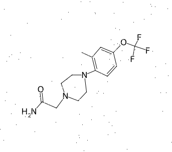 Cc1cc(OC(F)(F)F)ccc1N1CCN(CC(N)=O)CC1